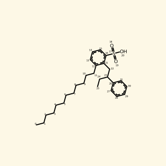 CCCCCCCCCCCCc1cccc(S(=O)(=O)O)c1CC(CC)c1ccccc1